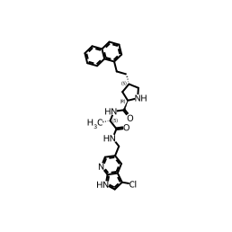 C[C@H](NC(=O)[C@H]1C[C@H](CCc2cccc3ccccc23)CN1)C(=O)NCc1cnc2[nH]cc(Cl)c2c1